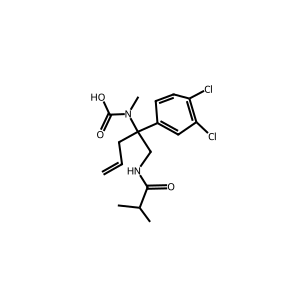 C=CCC(CNC(=O)C(C)C)(c1ccc(Cl)c(Cl)c1)N(C)C(=O)O